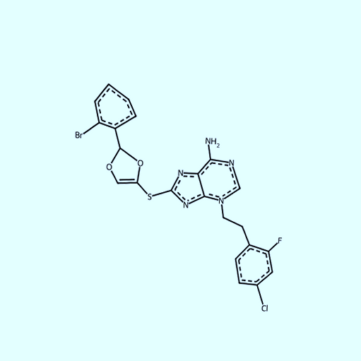 Nc1ncn(CCc2ccc(Cl)cc2F)c2nc(SC3=COC(c4ccccc4Br)O3)nc1-2